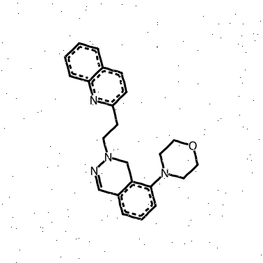 C1=NN(CCc2ccc3ccccc3n2)Cc2c1cccc2N1CCOCC1